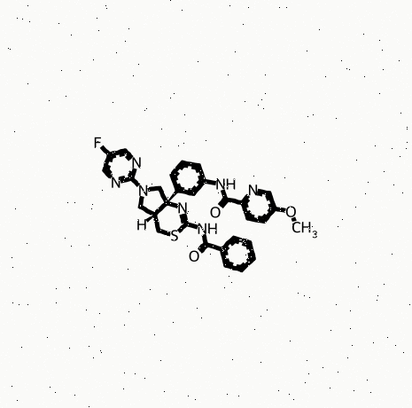 COc1ccc(C(=O)Nc2cccc([C@]34CN(c5ncc(F)cn5)C[C@H]3CSC(NC(=O)c3ccccc3)=N4)c2)nc1